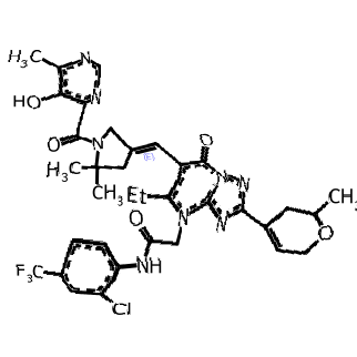 CCc1c(/C=C2/CN(C(=O)c3ncnc(C)c3O)C(C)(C)C2)c(=O)n2nc(C3=CCOC(C)C3)nc2n1CC(=O)Nc1ccc(C(F)(F)F)cc1Cl